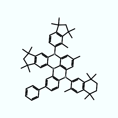 Cc1cc2c3c(c1)N(c1ccc4c(c1C)C(C)(C)CC4(C)C)c1cc4c(cc1B3c1cc(-c3ccccc3)ccc1N2c1cc2c(cc1C)C(C)(C)CCC2(C)C)C(C)(C)CC4(C)C